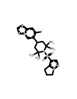 BC1(B)CC(c2cn3ncnc3cc2F)CC(B)(B)N1S(=O)(=O)c1cnn2c1CCC2